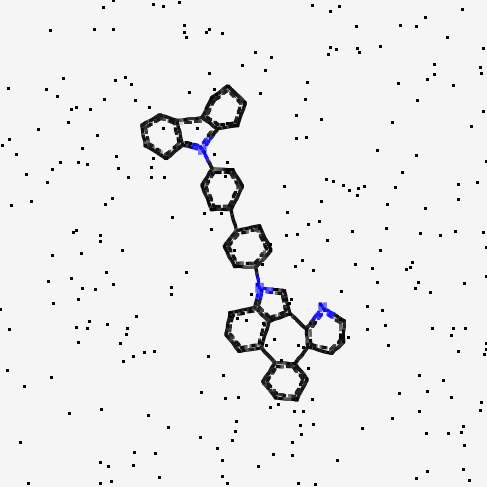 c1ccc2c(c1)-c1cccnc1-c1cn(-c3ccc(-c4ccc(-n5c6ccccc6c6ccccc65)cc4)cc3)c3cccc-2c13